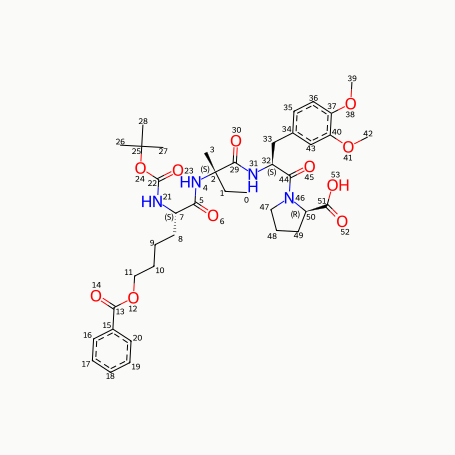 CC[C@](C)(NC(=O)[C@H](CCCCOC(=O)c1ccccc1)NC(=O)OC(C)(C)C)C(=O)N[C@@H](Cc1ccc(OC)c(OC)c1)C(=O)N1CCC[C@@H]1C(=O)O